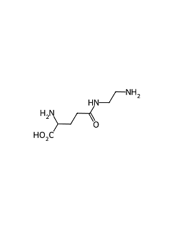 NCCNC(=O)CCC(N)C(=O)O